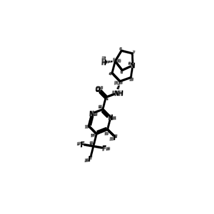 O=C(N[C@@H]1C[C@H]2CCN(C2)C1)c1ncc(C(F)(F)F)c(F)n1